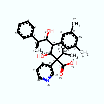 C=C(c1ccccc1)C(O)C(c1cc(C)cc(C)c1)C(O)C(C(=O)O)(c1cccnc1)C(C)C